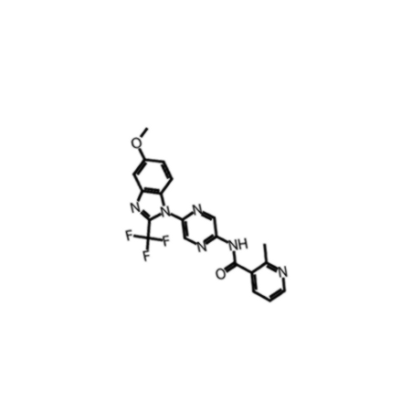 COc1ccc2c(c1)nc(C(F)(F)F)n2-c1cnc(NC(=O)c2cccnc2C)cn1